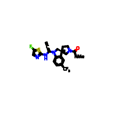 C=C=C(Nc1ncc(F)s1)N1C[C@]2(CCN(C(=O)NC)C2)c2cc(C(F)(F)F)ccc21